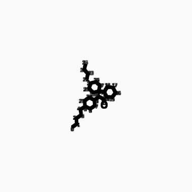 CCCCCC1CCC(C(C=O)[C@]2(C3CCCCC3)CC[C@H](CCCC)CC2)CC1